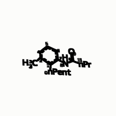 CCCCCc1c(C)cccc1NC(=O)CCC